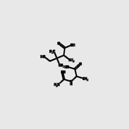 CC(C)(CO)C(N)C(=O)O.CC(NC(=N)N)C(=O)O